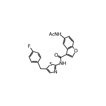 CC(=O)Nc1ccc2occ(C(=O)Nc3ncc(Cc4ccc(F)cc4)s3)c2c1